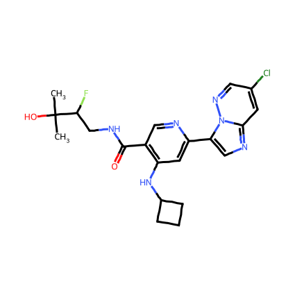 CC(C)(O)C(F)CNC(=O)c1cnc(-c2cnc3cc(Cl)cnn23)cc1NC1CCC1